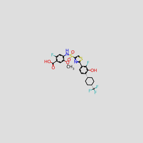 COc1cc(C(=O)O)c(F)cc1NS(=O)(=O)c1csc(-c2ccc([C@H]3CC[C@@H](C(F)(F)F)CC3)c(O)c2F)n1